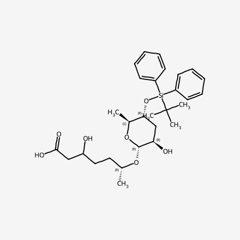 C[C@H](CCC(O)CC(=O)O)O[C@@H]1O[C@@H](C)[C@H](O[Si](c2ccccc2)(c2ccccc2)C(C)(C)C)C[C@H]1O